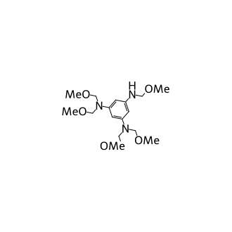 COCNc1cc(N(COC)COC)cc(N(COC)COC)c1